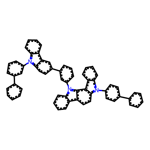 c1ccc(-c2ccc(-n3c4ccccc4c4c3ccc3c5ccccc5n(-c5cccc(-c6ccc7c(c6)c6ccccc6n7-c6cccc(-c7ccccc7)c6)c5)c34)cc2)cc1